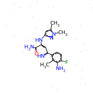 Cc1c(C(=N)/C=C(/Nc2cc(C)n(C)n2)C(N)=O)ccc(F)c1N